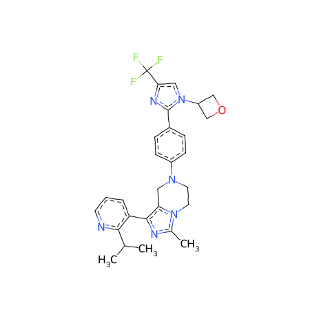 Cc1nc(-c2cccnc2C(C)C)c2n1CCN(c1ccc(-c3nc(C(F)(F)F)cn3C3COC3)cc1)C2